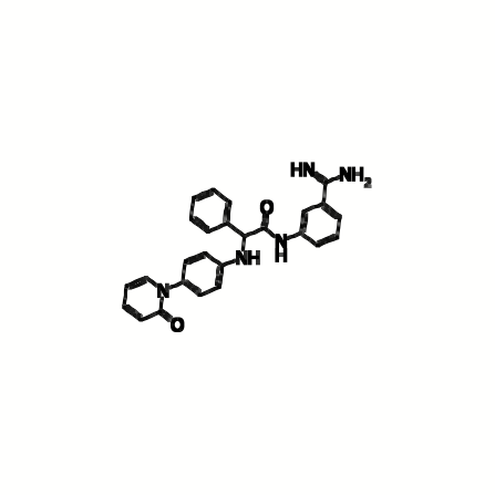 N=C(N)c1cccc(NC(=O)C(Nc2ccc(-n3ccccc3=O)cc2)c2ccccc2)c1